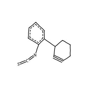 S=C=Nc1ccccc1C1C#CCCC1